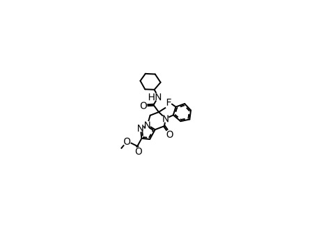 COC(=O)c1cc2n(n1)CC(C)(C(=O)NC1CCCCC1)N(c1ccccc1F)C2=O